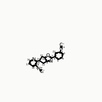 [C-]#[N+]c1cccc(-c2nc3c(o2)CC(c2ncccc2[N+]#[C-])C3)c1